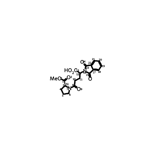 COC(=O)[C@@H]1CCCN1C(=O)CCC(C(=O)O)N1C(=O)c2ccccc2C1=O